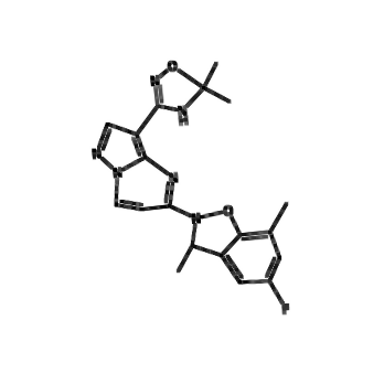 Cc1cc(F)cc2c1ON(c1ccn3ncc(C4=NOC(C)(C)N4)c3n1)C2C